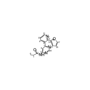 CCC(=O)Nc1cc(-c2cccnc2-c2ccco2)ncn1